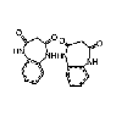 O=C1CC(=O)Nc2ccccc2N1.O=C1CC(=O)Nc2ccccc2N1